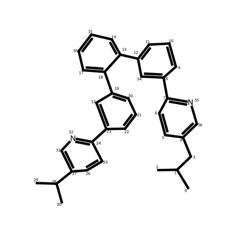 CC(C)Cc1ccc(-c2cccc(-c3ccccc3-c3cccc(-c4ccc(C(C)C)cn4)c3)c2)nc1